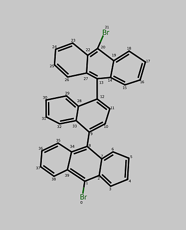 Brc1c2ccccc2c(-c2ccc(-c3c4ccccc4c(Br)c4ccccc34)c3ccccc23)c2ccccc12